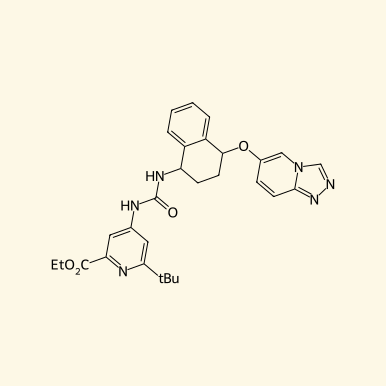 CCOC(=O)c1cc(NC(=O)NC2CCC(Oc3ccc4nncn4c3)c3ccccc32)cc(C(C)(C)C)n1